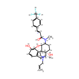 C=CCN1CC[C@]23c4c5ccc(O)c4OC2C(N(C)C(=O)/C=C/c2ccc(C(F)(F)F)cc2)CC[C@@]3(O)[C@H]1C5